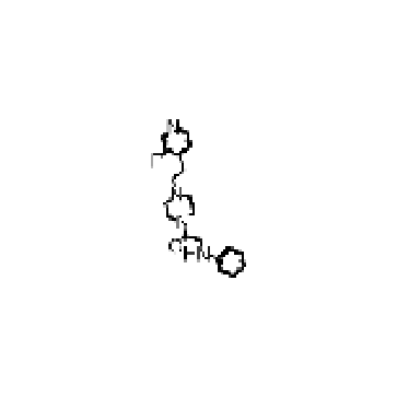 O=C(CNc1ccccc1)N1CCN(CCc2ccncc2F)CC1